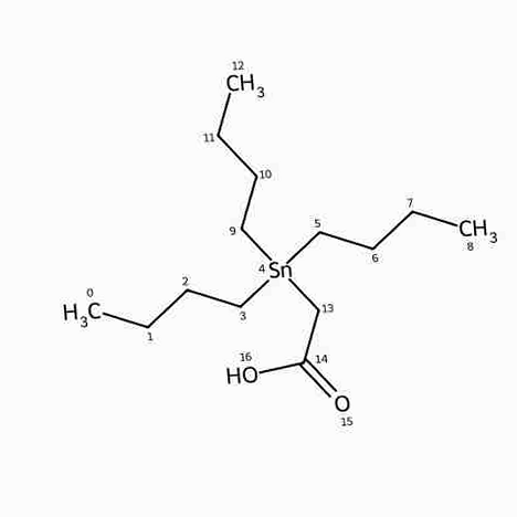 CCC[CH2][Sn]([CH2]CCC)([CH2]CCC)[CH2]C(=O)O